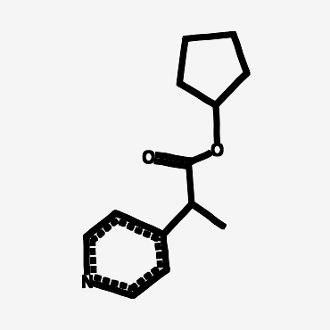 CC(C(=O)OC1CCCC1)c1ccncc1